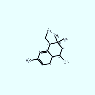 CCN1C2=CC(C)=CCC2C(C)CC1(C)C